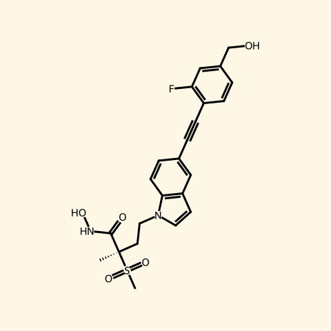 C[C@@](CCn1ccc2cc(C#Cc3ccc(CO)cc3F)ccc21)(C(=O)NO)S(C)(=O)=O